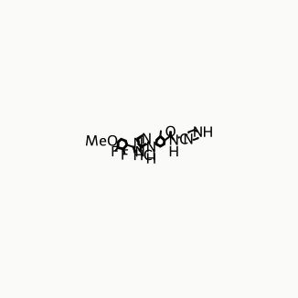 COc1ccc(-c2cnc3c(Nc4ccc(C(=O)NCCN5CCNCC5)c(C)c4)nccn23)c(F)c1F.Cl